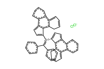 C1=CCc2c3c(c4ccccc4c2=C1)=CC=[C]3[Zr+2]([C]1=CC=c2c1c1c(c3ccccc23)=CC=CC1)=[C](c1ccccc1)c1ccccc1.[Cl-].[Cl-]